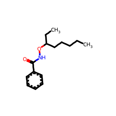 CCCCCC(CC)ONC(=O)c1ccccc1